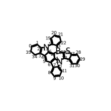 C1=Cc2c(c3cc4c5ccccc5n5c4c4c3n2-c2ccccc2B4c2sc3ccccc3c2-5)CC1